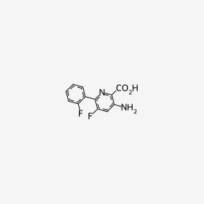 Nc1cc(F)c(-c2ccccc2F)nc1C(=O)O